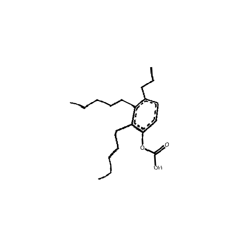 CCCCCc1c(CCC)ccc(OC(=O)O)c1CCCCC